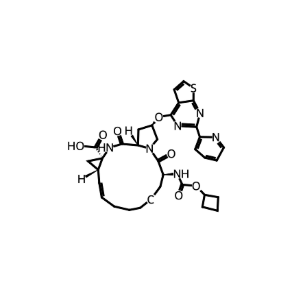 O=C(N[C@H]1CCCCC/C=C\[C@@H]2C[C@@]2(C(=O)O)NC(=O)[C@@H]2C[C@@H](Oc3nc(-c4ccccn4)nc4sccc34)CN2C1=O)OC1CCC1